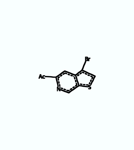 CC(=O)c1cc2c(Br)csc2cn1